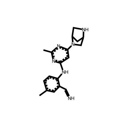 Cc1ccc(Nc2cc(N3CC4CC3CN4)nc(C)n2)c(C=N)c1